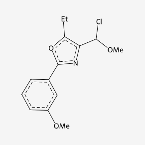 CCc1oc(-c2cccc(OC)c2)nc1C(Cl)OC